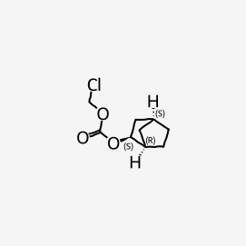 O=C(OCCl)O[C@H]1C[C@H]2CC[C@@H]1C2